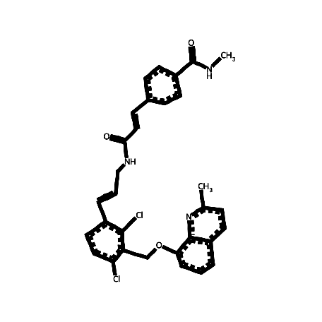 CNC(=O)c1ccc(/C=C/C(=O)NCC=Cc2ccc(Cl)c(COc3cccc4ccc(C)nc34)c2Cl)cc1